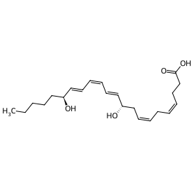 CCCCC[C@H](O)/C=C/C=C\C=C\[C@@H](O)C/C=C\C/C=C\CCC(=O)O